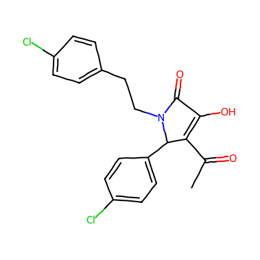 CC(=O)C1=C(O)C(=O)N(CCc2ccc(Cl)cc2)C1c1ccc(Cl)cc1